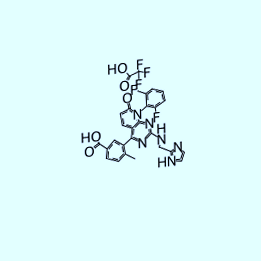 Cc1ccc(C(=O)O)cc1-c1nc(NCc2ncc[nH]2)nc2c1ccc(=O)n2-c1c(F)cccc1F.O=C(O)C(F)(F)F